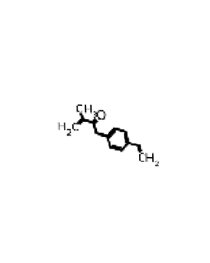 C=Cc1ccc(CC(=O)C(=C)C)cc1